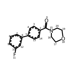 O=C(c1ccc(-c2cc[c]c(F)c2)cc1)N1CCOCC1